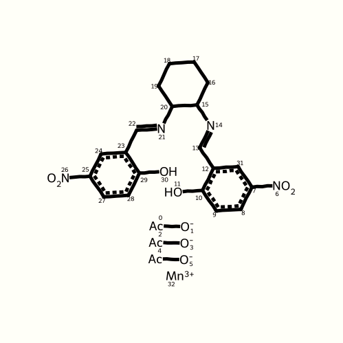 CC(=O)[O-].CC(=O)[O-].CC(=O)[O-].O=[N+]([O-])c1ccc(O)c(C=NC2CCCCC2N=Cc2cc([N+](=O)[O-])ccc2O)c1.[Mn+3]